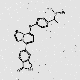 CCCN(CCC)C(C)c1ccc(NC2=CC=C(c3ccc4c(c3)CNC4=O)N3C=CNC23)cc1